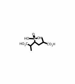 CC(CC(C(C)C(=O)O)P(=O)(O)O)C(=O)O